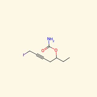 CCC(CC#CCI)OC(N)=O